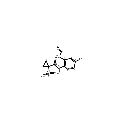 O=COc1cc(F)ccc1NC(=O)C1([SH](=O)=O)CC1